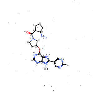 CCn1c(-c2cnc(C)nc2)nc2c(OC3CCN(C(=O)C4CCCC4N)C3)ncnc21